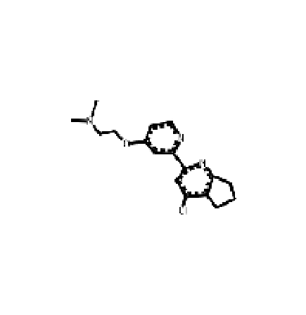 CN(C)CCOc1ccnc(-c2cc(Cl)c3c(n2)CCC3)c1